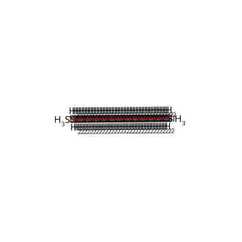 [SiH3][SiH2][SiH2][SiH2][SiH2][SiH2][SiH2][SiH2][SiH2][SiH2][SiH2][SiH2][SiH2][SiH2][SiH2][SiH2][SiH2][SiH2][SiH2][SiH2][SiH2][SiH2][SiH2][SiH2][SiH2][SiH2][SiH2][SiH2][SiH2][SiH2][SiH2][SiH2][SiH2][SiH2][SiH2][SiH2][SiH2][SiH2][SiH2][SiH2][SiH2][SiH2][SiH2][SiH2][SiH2][SiH2][SiH2][SiH2][SiH2][SiH2][SiH2][SiH2][SiH2][SiH2][SiH2][SiH2][SiH2][SiH2][SiH2][SiH2][SiH2][SiH2][SiH2][SiH2][SiH2][SiH2][SiH3]